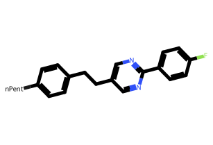 CCCCCc1ccc(CCc2cnc(-c3ccc(F)cc3)nc2)cc1